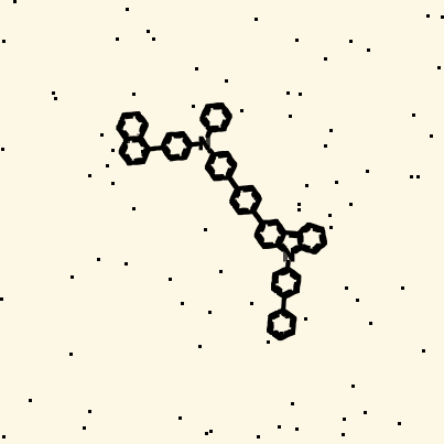 c1ccc(-c2ccc(-n3c4ccccc4c4cc(-c5ccc(-c6ccc(N(c7ccccc7)c7ccc(-c8cccc9ccccc89)cc7)cc6)cc5)ccc43)cc2)cc1